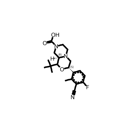 Cc1c([C@H]2CN3CCN(C(=O)O)C[C@@H]3C(C(C)(C)C)O2)ccc(F)c1C#N